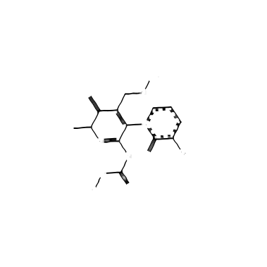 C=C1C(CNC=O)=C(n2cccc([N+](=O)[O-])c2=O)C(NC(=O)OC(C)(C)C)=NC1C